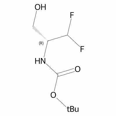 CC(C)(C)OC(=O)N[C@H](CO)C(F)F